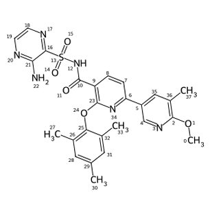 COc1ncc(-c2ccc(C(=O)NS(=O)(=O)c3nccnc3N)c(Oc3c(C)cc(C)cc3C)n2)cc1C